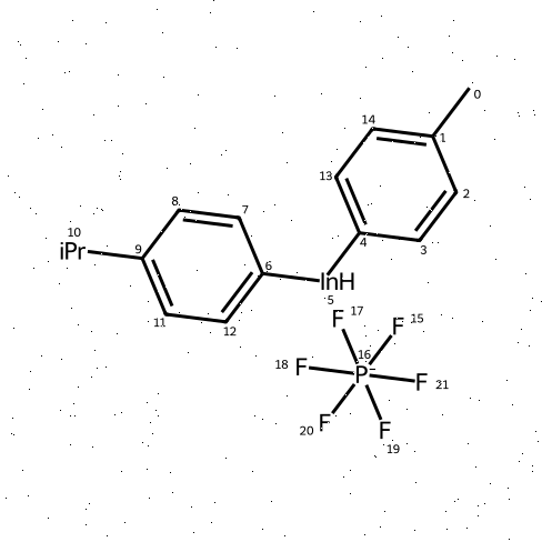 Cc1cc[c]([InH][c]2ccc(C(C)C)cc2)cc1.F[P-](F)(F)(F)(F)F